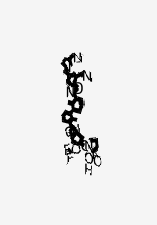 Cc1c(-c2nc3cc(CN4CCC[C@H]4C(=O)O)c(OC(F)F)cc3o2)cccc1-c1cccc(-c2nc3cc(CN4CCC(CN(C)C)C4)cc(C#N)c3o2)c1C